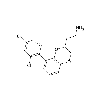 NCCC1COc2cccc(-c3ccc(Cl)cc3Cl)c2O1